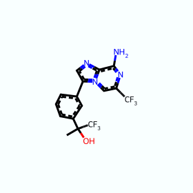 CC(O)(c1cccc(-c2cnc3c(N)nc(C(F)(F)F)cn23)c1)C(F)(F)F